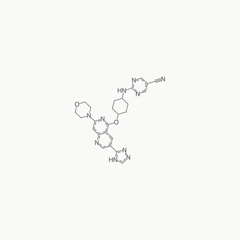 N#Cc1cnc(NC2CCC(Oc3nc(N4CCOCC4)cc4ncc(-c5nnc[nH]5)cc34)CC2)nc1